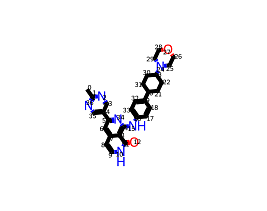 Cc1ncc(-c2cc3cc[nH]c(=O)c3c(Nc3ccc(C4CCC(N5CCOCC5)CC4)cc3)n2)cn1